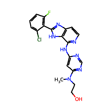 CN(CCO)c1cc(Nc2nccc3nc(-c4c(F)cccc4Cl)[nH]c23)ncn1